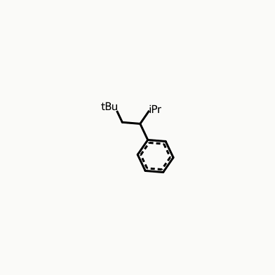 CC(C)C(CC(C)(C)C)c1ccccc1